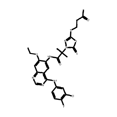 CCOc1cc2ncnc(Nc3ccc(F)c(Cl)c3)c2cc1NC(=O)C(C)(C)n1nc(SCCC(C)=O)sc1=S